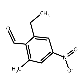 CCc1cc([N+](=O)[O-])cc(C)c1C=O